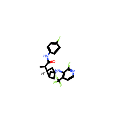 CC(C(=O)Nc1ccc(F)cc1)[C@H]1CC2(Nc3c(C(F)(F)F)ccnc3F)CC1C2